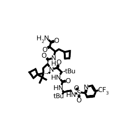 CC(C)(C)C(CNS(=O)(=O)c1ccc(C(F)(F)F)cn1)NC(=O)N[C@H](C(=O)N1C[C@]2(C[C@H]1C(=O)NC(CC1CCC1)C(=O)C(N)=O)C(C)(C)C21CCC1)C(C)(C)C